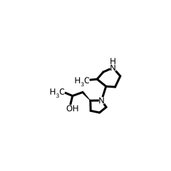 CC(O)C[C@@H]1CCCN1C1CCNCC1C